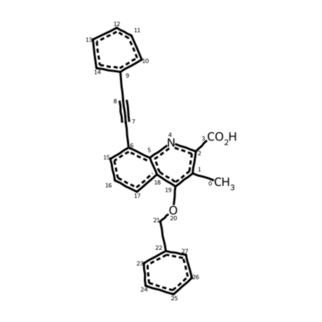 Cc1c(C(=O)O)nc2c(C#Cc3ccccc3)cccc2c1OCc1ccccc1